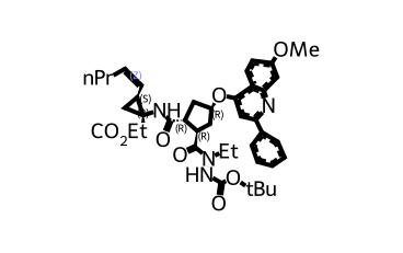 CCC/C=C\[C@@H]1C[C@]1(NC(=O)[C@@H]1C[C@@H](Oc2cc(-c3ccccc3)nc3cc(OC)ccc23)C[C@H]1C(=O)N(CC)NC(=O)OC(C)(C)C)C(=O)OCC